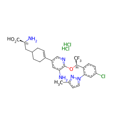 Cc1ccn(-c2cc(Cl)ccc2[C@@H](Oc2ncc(C3=CCC(C[C@H](N)C(=O)O)CC3)cc2N)C(F)(F)F)n1.Cl.Cl